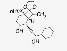 CCCCCC[C@]12CC[C@@H](O)[C@H](C#C[C@@H](O)C3CCCCC3)[C@H]1C(C)C21OCCO1